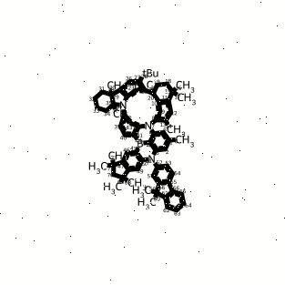 Cc1cc2c3c(c1)N1c4cc5c(cc4C)C(C)(C)CCC5(C)c4cc5c(cc4C(C)(C)C)C4(C)CCCCC4(C)N5c4ccc(c1c4)B3c1cc3c(cc1N2c1ccc2c(c1)C(C)(C)c1ccccc1-2)C(C)(C)CC3(C)C